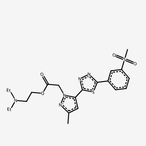 CCN(CC)CCOC(=O)Cn1nc(C)cc1-c1nnc(-c2cccc(S(C)(=O)=O)c2)s1